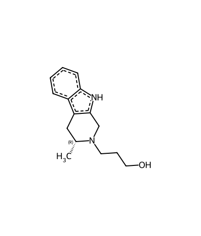 C[C@@H]1Cc2c([nH]c3ccccc23)CN1CCCO